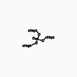 CCCCCCCOP(=O)(OCCCCCCC)OCCCCCCC